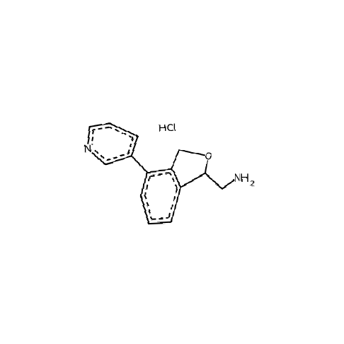 Cl.NCC1OCc2c(-c3cccnc3)cccc21